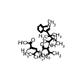 CNC(C(=O)NC(C(=O)N(C)C(/C=C(\C)C(=O)O)C(C)C)C(C)C)C(C)(C)c1cn(C)c2ccccc12